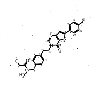 CCC(=O)N(C)Cc1ccc(CCn2cnc3cc(-c4ccc(Cl)cc4)sc3c2=O)cc1